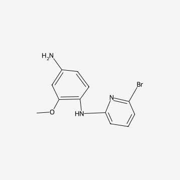 COc1cc(N)ccc1Nc1cccc(Br)n1